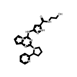 O=C(NCCO)c1cc(Nc2nc(N3CCCC3c3ccccn3)nc3cccn23)n[nH]1